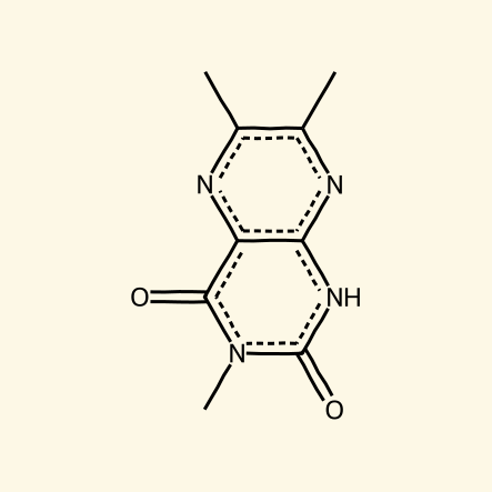 Cc1nc2[nH]c(=O)n(C)c(=O)c2nc1C